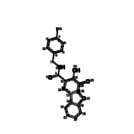 O=C(NCc1ccc(F)cc1)c1nc2c3ccccc3on2c(=O)c1O